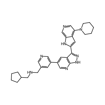 c1ncc(-c2cnc3[nH]nc(-c4cc5c(N6CCCCC6)cncc5[nH]4)c3c2)cc1CNCC1CCCC1